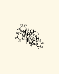 C[C@]12CC[C@@H]3[C@@H](CCC4CCCC[C@@]43C)[C@@H]1CC(N1CCCCC1)(N1CCCCC1)C2